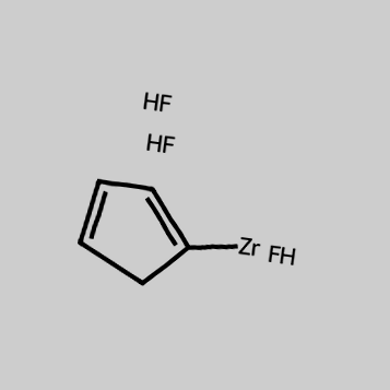 F.F.F.[Zr][C]1=CC=CC1